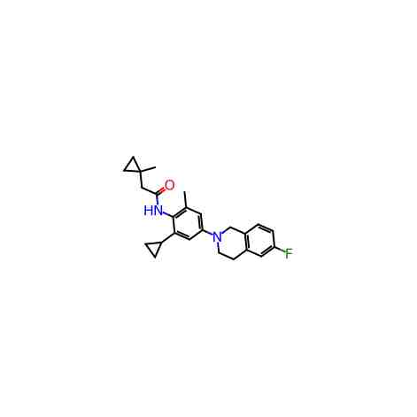 Cc1cc(N2CCc3cc(F)ccc3C2)cc(C2CC2)c1NC(=O)CC1(C)CC1